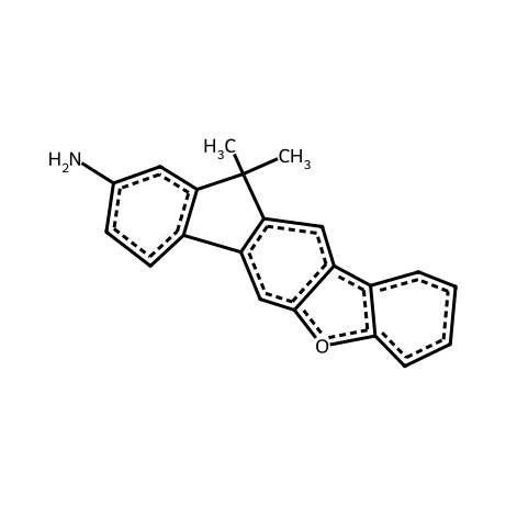 CC1(C)c2cc(N)ccc2-c2cc3oc4ccccc4c3cc21